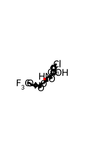 O=C(NC12CC(OCC(=O)N3CC(COC(F)(F)F)C3)(C1)C2)[C@H]1C[C@@H](O)c2cc(Cl)ccc2O1